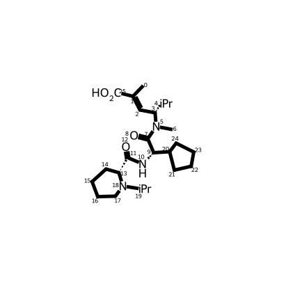 C/C(=C\[C@H](C(C)C)N(C)C(=O)[C@@H](NC(=O)[C@H]1CCCCN1C(C)C)C1CCCC1)C(=O)O